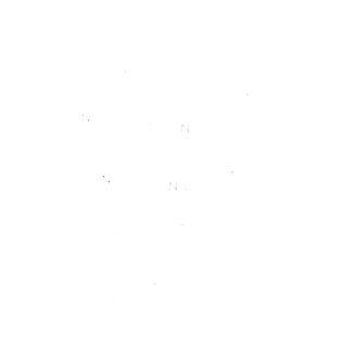 Cc1nc(Cl)c2nc(-c3ccccc3Cl)n(CC3CCCO3)c2n1